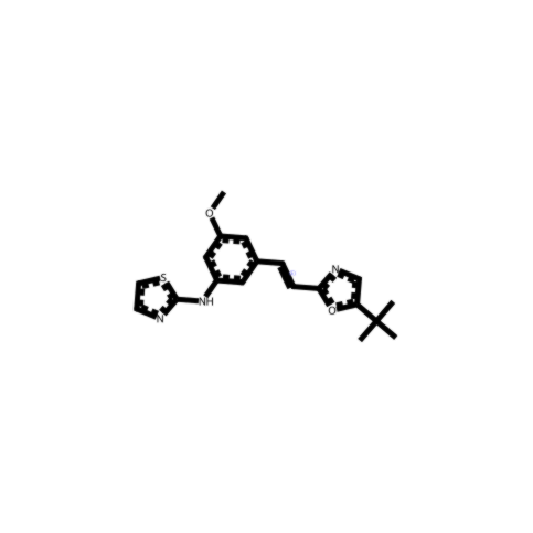 COc1cc(/C=C/c2ncc(C(C)(C)C)o2)cc(Nc2nccs2)c1